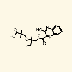 CCC(C)(CNC(=O)c1nc2ccccc2nc1O)OCC(C)(C)C(=O)O